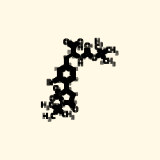 CC(C)(C)OC(=O)N[C@@H](Cc1ccc(C2CC(=O)N(C(C)(C)C)S2(=O)=O)c(Br)c1)C(=O)O